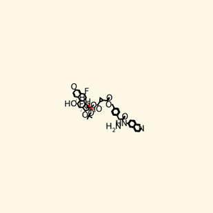 CC1(C)O[C@@H]2C[C@H]3[C@@H]4C[C@H](F)C5=CC(=O)C=C[C@]5(C)[C@@]4(F)[C@@H](O)C[C@]3(C)[C@]2(C(=O)COC(=O)C2CC2C(=O)OCc2ccc([C@@H](CN)C(=O)Nc3ccc4cnccc4c3)cc2)O1